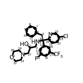 OC(CN[C@@](Cc1ccccc1)(c1cc(F)cc(C(F)(F)F)c1)c1ccc(Cl)cn1)CN1CCOCC1